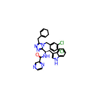 O=C(N[C@H](Cc1c[nH]c2ccccc12)c1nnc(CC2=CCCC=C2)n1Cc1ccc(Cl)c(Cl)c1)c1cnccn1